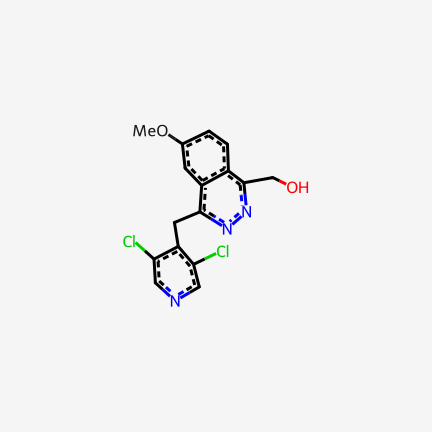 COc1ccc2c(CO)nnc(Cc3c(Cl)cncc3Cl)c2c1